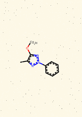 Cc1nn(-c2ccccc2)nc1OC(=O)O